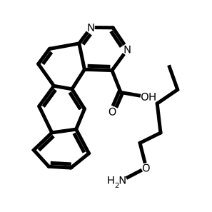 CCCCCON.O=C(O)c1ncnc2ccc3cc4ccccc4cc3c12